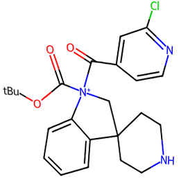 CC(C)(C)OC(=O)[N+]1(C(=O)c2ccnc(Cl)c2)CC2(CCNCC2)c2ccccc21